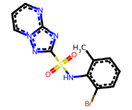 Cc1cccc(Br)c1NS(=O)(=O)c1nc2ncccn2n1